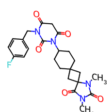 CN1C(=O)N(C)C2(CC3(CCC(N4C(=O)CC(=O)N(Cc5ccc(F)cc5)C4=O)CC3)C2)C1=O